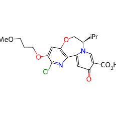 COCCCOc1cc2c(nc1Cl)-c1cc(=O)c(C(=O)O)cn1[C@H](C(C)C)CO2